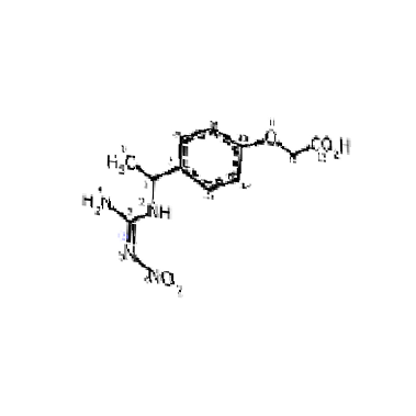 CC(N/C(N)=N\[N+](=O)[O-])c1ccc(OCC(=O)O)cc1